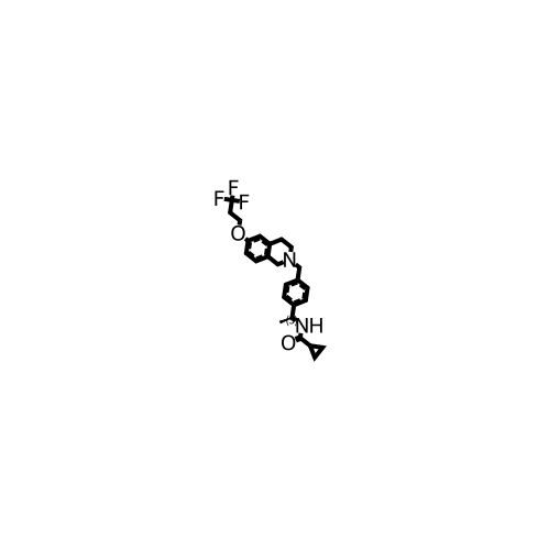 C[C@H](NC(=O)C1CC1)c1ccc(CN2CCc3cc(OCCC(F)(F)F)ccc3C2)cc1